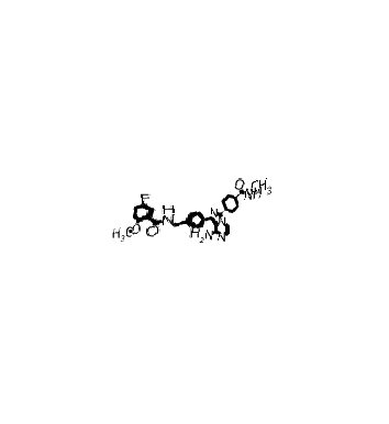 CNC(=O)[C@H]1CC[C@H](c2nc(-c3ccc(CNC(=O)c4cc(F)ccc4OC)cc3)c3c(N)nccn32)CC1